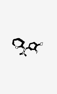 CN(C)N(C1=CC(F)=C(Cl)CC1)C1CCCCO1